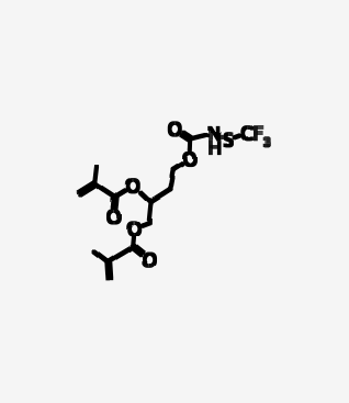 C=C(C)C(=O)OCC(CCOC(=O)NSC(F)(F)F)OC(=O)C(=C)C